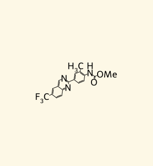 COC(=O)Nc1ccc(-c2ncc3cc(C(F)(F)F)ccc3n2)cc1C